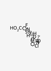 O=C(O)c1cc(F)c2nc(N3C[C@@H]4C[C@H]3C[C@@H]4OC(=O)c3c(-c4c(Cl)cccc4Cl)noc3C3CC3)sc2c1